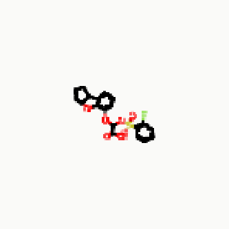 O=C(O)C(Oc1cccc2c1OC1CCCC21)OS(=O)(=O)c1ccccc1F